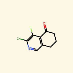 O=C1CCCc2cnc(Cl)c(F)c21